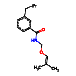 CC(C)=COCNC(=O)c1cccc(CC(C)C)c1